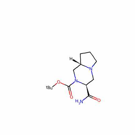 CC(C)(C)OC(=O)N1C[C@@H]2CCCN2C[C@H]1C(N)=O